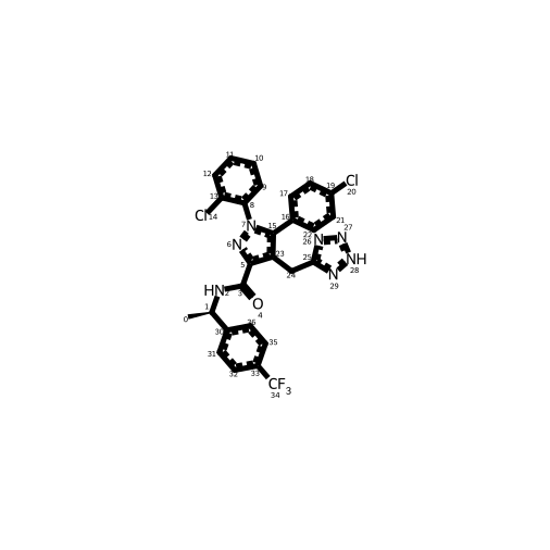 C[C@@H](NC(=O)c1nn(-c2ccccc2Cl)c(-c2ccc(Cl)cc2)c1Cc1nn[nH]n1)c1ccc(C(F)(F)F)cc1